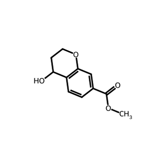 COC(=O)c1ccc2c(c1)OCCC2O